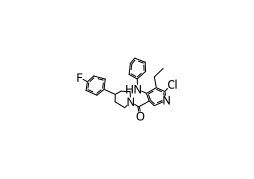 CCc1c(Cl)ncc(C(=O)N2CCC(c3ccc(F)cc3)CC2)c1Nc1ccccc1